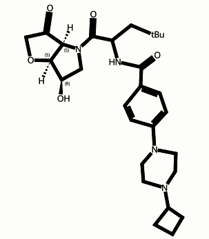 CC(C)(C)CC(NC(=O)c1ccc(N2CCN(C3CCC3)CC2)cc1)C(=O)N1C[C@@H](O)[C@H]2OCC(=O)[C@H]21